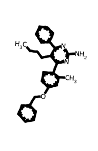 CCCCc1c(-c2ccccc2)nc(N)nc1-c1ccc(OCc2ccccc2)cc1C